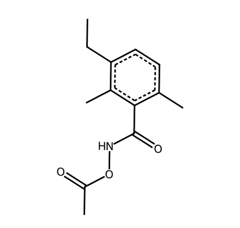 CCc1ccc(C)c(C(=O)NOC(C)=O)c1C